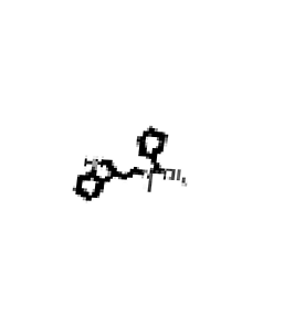 CC(NCCc1c[nH]c2ccccc12)c1ccccc1